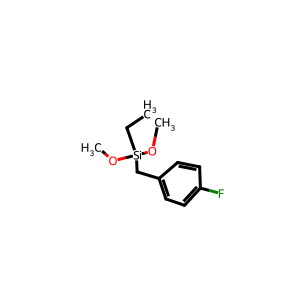 CC[Si](Cc1ccc(F)cc1)(OC)OC